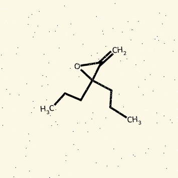 C=C1OC1(CCC)CCC